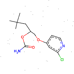 CC(C)(C)CC(COc1ccnc(Cl)c1)OC(N)=O